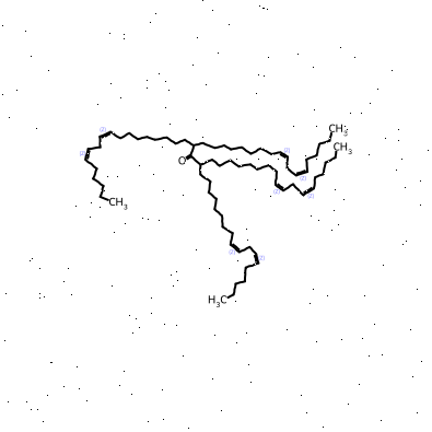 CCCCC/C=C\C/C=C\CCCCCCCCC(CCCCCCCC/C=C\C/C=C\CCCCC)C(=O)C(CCCCCCCC/C=C\C/C=C\CCCCC)CCCCCCCC/C=C\C/C=C\CCCCC